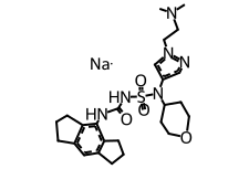 CN(C)CCn1cc(N(C2CCOCC2)S(=O)(=O)NC(=O)Nc2c3c(cc4c2CCC4)CCC3)cn1.[Na]